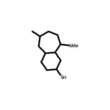 CNC1CCC(C)CC2CCC(S)CC21